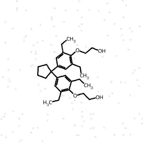 CCc1cc(C2(c3cc(CC)c(OCCO)c(CC)c3)CCCC2)cc(CC)c1OCCO